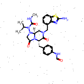 CNC(=O)N(C(C)C)N1CC(=O)N2[C@@H](Cc3ccc(NC=O)cc3)C(=O)N(Cc3cccc4sc(N)nc34)C[C@@H]21